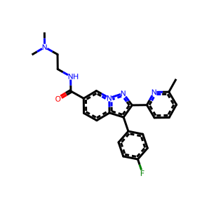 Cc1cccc(-c2nn3cc(C(=O)NCCN(C)C)ccc3c2-c2ccc(F)cc2)n1